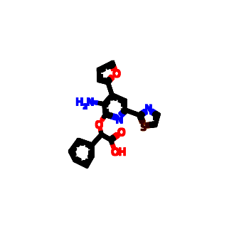 Nc1c(-c2ccco2)cc(-c2nccs2)nc1OC(C(=O)O)c1ccccc1